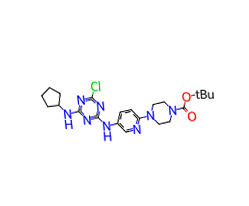 CC(C)(C)OC(=O)N1CCN(c2ccc(Nc3nc(Cl)nc(NC4CCCC4)n3)cn2)CC1